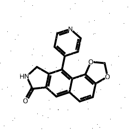 O=C1NCc2c1cc1ccc3c(c1c2-c1ccncc1)OCO3